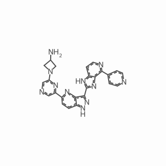 NC1CN(c2cncc(-c3ccc4[nH]nc(-c5nc6c(-c7ccncc7)nccc6[nH]5)c4n3)n2)C1